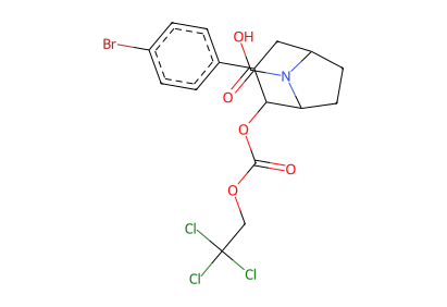 O=C(OCC(Cl)(Cl)Cl)OC1C(c2ccc(Br)cc2)CC2CCC1N2C(=O)O